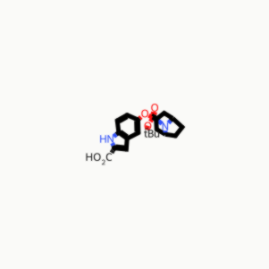 CC(C)(C)OC(=O)N1C2CCC1CC(Oc1ccc3[nH]c(C(=O)O)cc3c1)C2